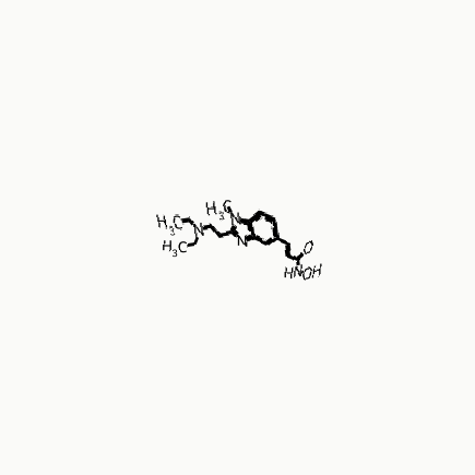 CCN(CC)CCc1nc2cc(C=CC(=O)NO)ccc2n1C